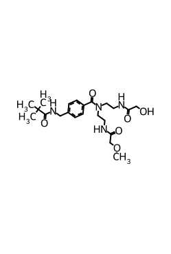 COCC(=O)NCCN(CCNC(=O)CO)C(=O)c1ccc(CNC(=O)C(C)(C)C)cc1